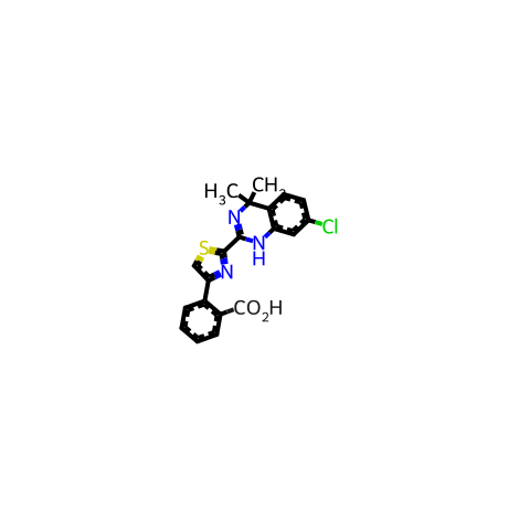 CC1(C)N=C(c2nc(-c3ccccc3C(=O)O)cs2)Nc2cc(Cl)ccc21